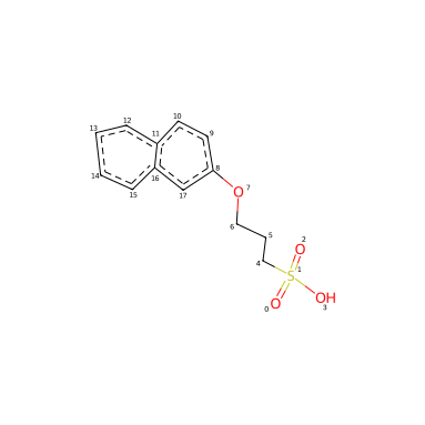 O=S(=O)(O)CCCOc1ccc2ccccc2c1